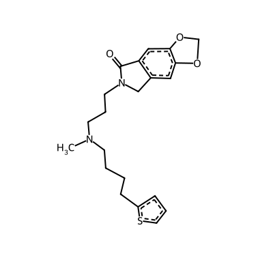 CN(CCCCc1cccs1)CCCN1Cc2cc3c(cc2C1=O)OCO3